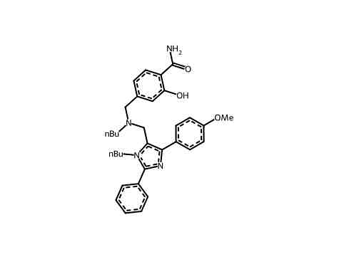 CCCCN(Cc1ccc(C(N)=O)c(O)c1)Cc1c(-c2ccc(OC)cc2)nc(-c2ccccc2)n1CCCC